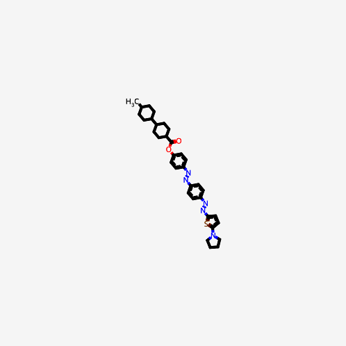 CC1CCC(C2CCC(C(=O)Oc3ccc(N=Nc4ccc(N=Nc5ccc(N6CCCC6)s5)cc4)cc3)CC2)CC1